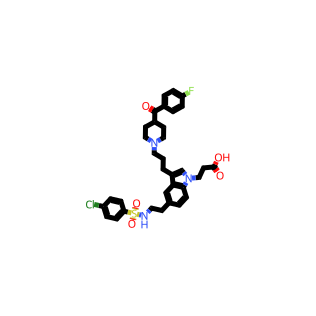 O=C(O)CCn1cc(CCCN2CCC(C(=O)c3ccc(F)cc3)CC2)c2cc(CCNS(=O)(=O)c3ccc(Cl)cc3)ccc21